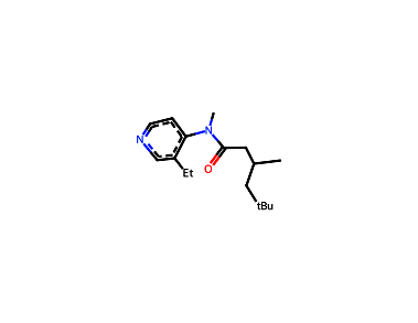 CCc1cnccc1N(C)C(=O)CC(C)CC(C)(C)C